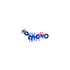 O=C(CN1CCCCCC1)N1CC=C(C2Cc3c(Nc4ccc5ncsc5c4)ccnc3N2)CC1